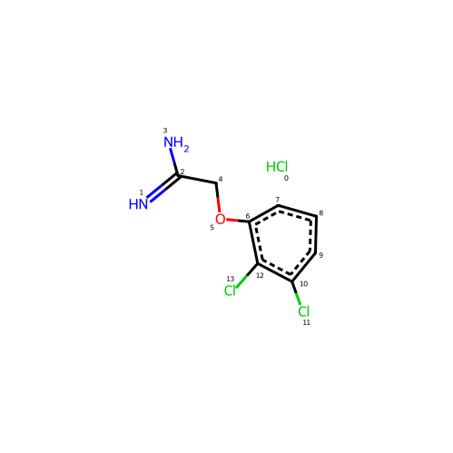 Cl.N=C(N)COc1cccc(Cl)c1Cl